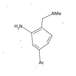 CNCc1ccc(C(C)=O)cc1N